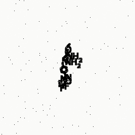 CCOC/C(N)=C/N(N)Cc1ccc(-c2noc(C(F)(F)F)n2)cc1